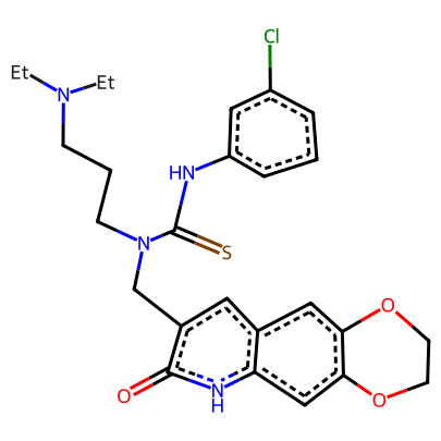 CCN(CC)CCCN(Cc1cc2cc3c(cc2[nH]c1=O)OCCO3)C(=S)Nc1cccc(Cl)c1